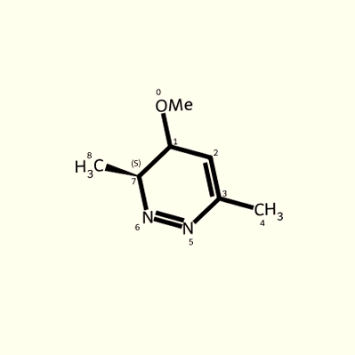 COC1C=C(C)N=N[C@H]1C